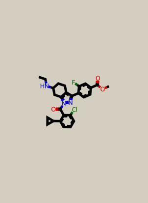 CCNC1CCc2c(-c3ccc(C(=O)OC)cc3F)nn(C(=O)c3c(Cl)cccc3C3CC3)c2C1